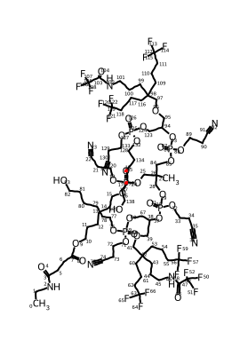 CCNC(=O)CCC(=O)OCCCCCCOP(=O)(OCCC#N)OCC(C)(COP(=O)(OCCC#N)OC(COCC(CCCNC(=O)C(F)(F)F)(CCCC(F)(F)F)CCCC(F)(F)F)COP(=O)(OCCC#N)OCCCCCCO)COP(=O)(OCCC#N)OC(COCC(CCCNC(=O)C(F)(F)F)(CCCC(F)(F)F)CCCC(F)(F)F)COP(=O)(OCCC#N)OCCCCCCO